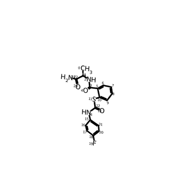 C[C@@H](NC(=O)c1ccccc1SC(=O)Nc1ccc(F)cc1)C(N)=O